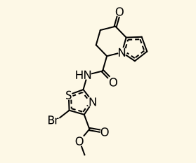 COC(=O)c1nc(NC(=O)C2CCC(=O)c3cccn32)sc1Br